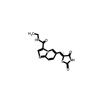 CCNC(=O)c1cnc2ccc(/C=C3\SC(=O)NC3=O)cn12